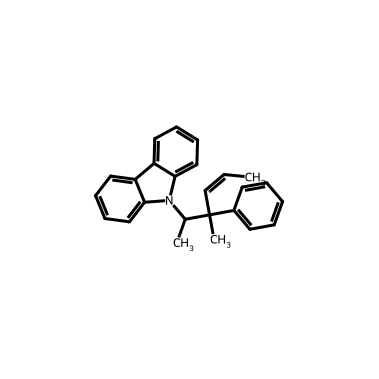 C/C=C\C(C)(c1ccccc1)C(C)n1c2ccccc2c2ccccc21